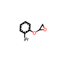 CC(C)c1ccccc1OC1CO1